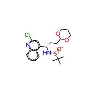 CC(C)(C)[S+]([O-])N[C@@H](CCC1OCCCO1)c1cc(Cl)nc2ccccc12